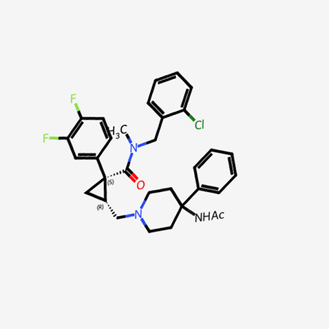 CC(=O)NC1(c2ccccc2)CCN(C[C@@H]2C[C@@]2(C(=O)N(C)Cc2ccccc2Cl)c2ccc(F)c(F)c2)CC1